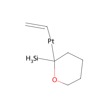 C=[CH][Pt][C]1([SiH3])CCCCO1